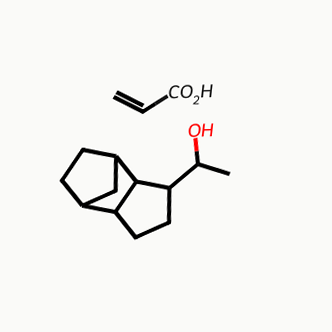 C=CC(=O)O.CC(O)C1CCC2C3CCC(C3)C12